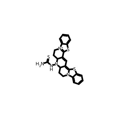 NC(=S)NN1C2CC[n+]3c(sc4ccccc43)C2=CC2=C3Sc4ccccc4N3CCC21